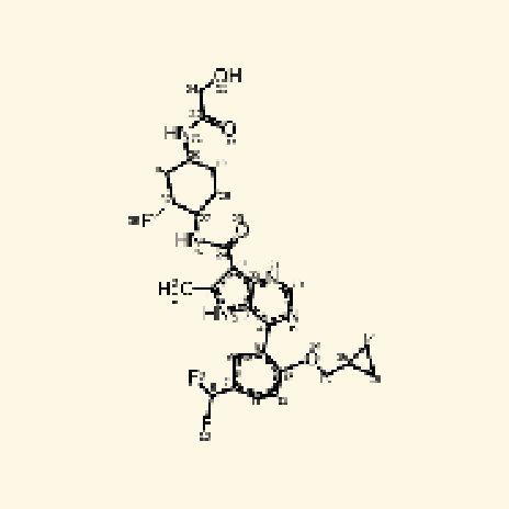 Cc1[nH]c2c(-c3cc(C(F)F)ccc3OCC3CC3)ncnc2c1C(=O)N[C@@H]1CC[C@H](NC(=O)CO)C[C@H]1F